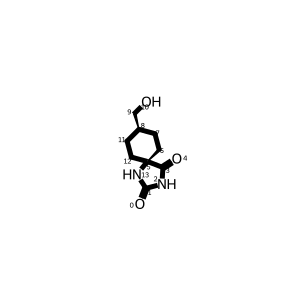 O=C1NC(=O)[C@]2(CC[C@H](CO)CC2)N1